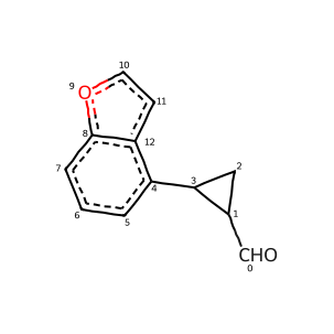 O=CC1CC1c1cccc2occc12